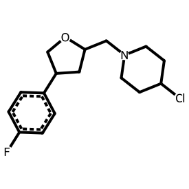 Fc1ccc(C2COC(CN3CCC(Cl)CC3)C2)cc1